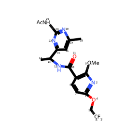 COc1nc(OCC(F)(F)F)ccc1C(=O)NC(C)c1cc(C)nc(NC(C)=O)n1